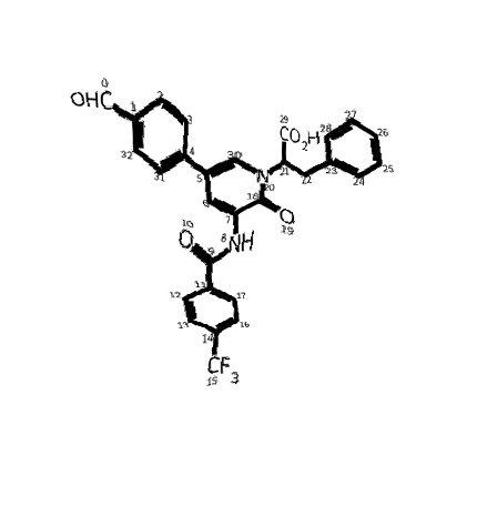 O=Cc1ccc(-c2cc(NC(=O)c3ccc(C(F)(F)F)cc3)c(=O)n(C(Cc3ccccc3)C(=O)O)c2)cc1